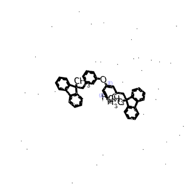 C=C(/C=C(\C=C/C)Oc1cccc(CC2(C)c3ccccc3-c3ccccc32)c1)CC1(C)c2ccccc2-c2ccccc21